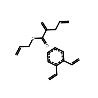 C=CCOC(=O)C(=C)CC=C.C=Cc1ccccc1C=C